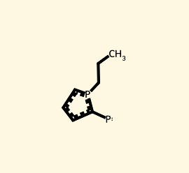 CCCp1cccc1[P]